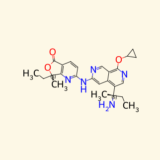 CC[C@](C)(N)c1cnc(OC2CC2)c2cnc(Nc3ccc4c(n3)[C@](C)(CC)OC4=O)cc12